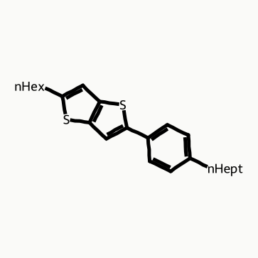 CCCCCCCc1ccc(-c2cc3sc(CCCCCC)cc3s2)cc1